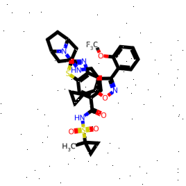 CC1(S(=O)(=O)NC(=O)c2ccc3nc(N4C5CCC4CC(NCc4c(-c6ccccc6OC(F)(F)F)noc4C4CC4)C5)sc3c2)CC1